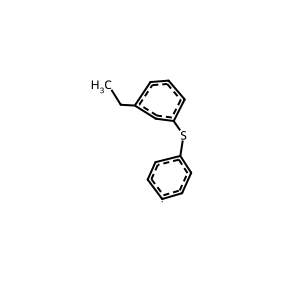 CCc1cccc(Sc2cc[c]cc2)c1